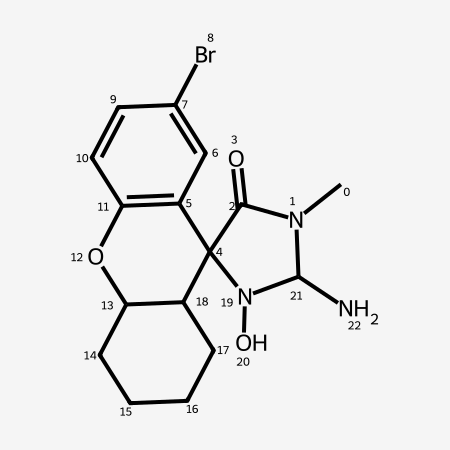 CN1C(=O)C2(c3cc(Br)ccc3OC3CCCCC32)N(O)C1N